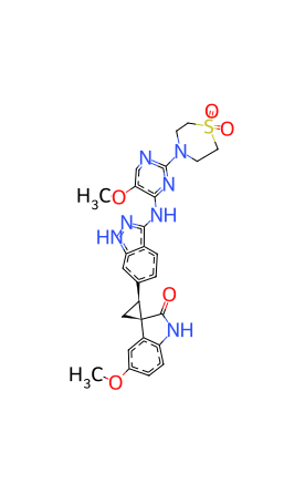 COc1ccc2c(c1)[C@@]1(C[C@H]1c1ccc3c(Nc4nc(N5CCS(=O)(=O)CC5)ncc4OC)n[nH]c3c1)C(=O)N2